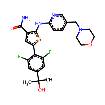 CC(C)(O)c1cc(F)c(-c2cc(C(N)=O)c(Nc3ccc(CN4CCOCC4)cn3)s2)c(F)c1